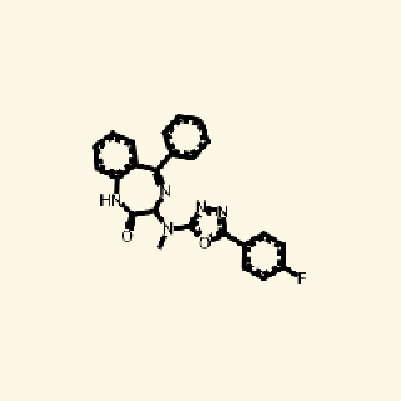 CN(c1nnc(-c2ccc(F)cc2)o1)C1N=C(c2ccccc2)c2ccccc2NC1=O